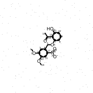 COc1cc(COc2cccc(O)c2C(C)=O)c([N+](=O)[O-])cc1OC